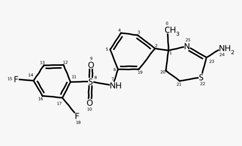 CC1(c2cccc(NS(=O)(=O)c3ccc(F)cc3F)c2)CCSC(N)=N1